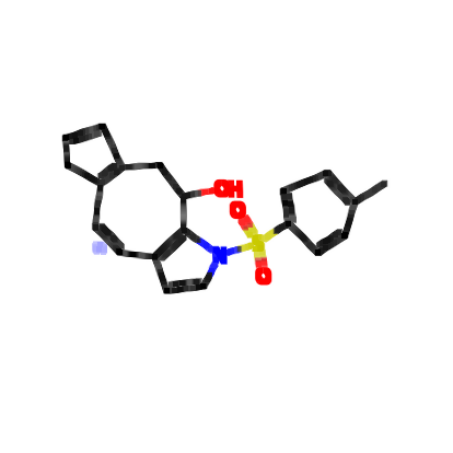 Cc1ccc(S(=O)(=O)n2ccc3c2C(O)CC2=C(/C=C\3)CC=C2)cc1